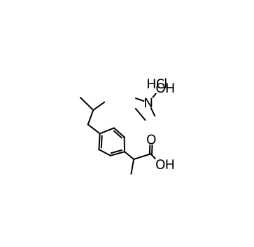 CC.CC(C)Cc1ccc(C(C)C(=O)O)cc1.CN(C)O.Cl